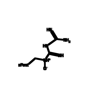 CCCCCC[NH+]([O-])C(=N)NC(=N)N